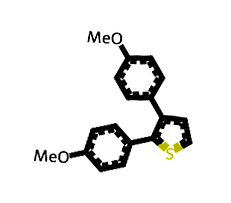 COc1ccc(-c2ccsc2-c2ccc(OC)cc2)cc1